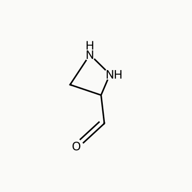 O=CC1CNN1